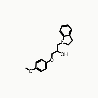 COc1ccc(OCC(O)CN2CCc3ccccc32)cc1